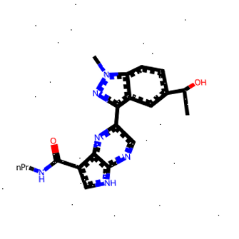 CCCNC(=O)c1c[nH]c2ncc(-c3nn(C)c4ccc(C(C)O)cc34)nc12